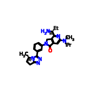 CC[C@@H](N)c1nc(N(C)C(C)C)cc2c1CN(c1cccc(-c3nnc4n3[C@@H](C)CC4)c1)C2=O